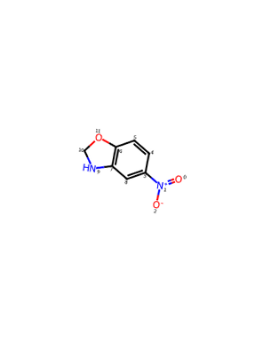 O=[N+]([O-])c1ccc2c(c1)NCO2